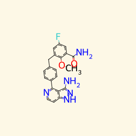 COc1c(Cc2ccc(-c3nccc4[nH]nc(N)c34)cc2)cc(F)cc1C(N)=O